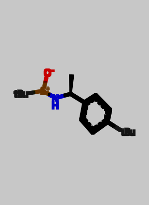 C[C@H](N[S+]([O-])C(C)(C)C)c1ccc(C(C)(C)C)cc1